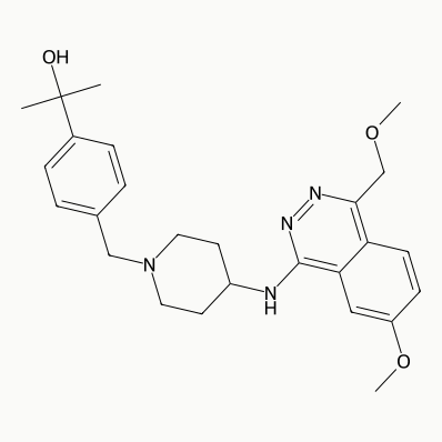 COCc1nnc(NC2CCN(Cc3ccc(C(C)(C)O)cc3)CC2)c2cc(OC)ccc12